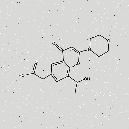 CC(O)c1cc(CC(=O)O)cc2c(=O)cc(N3CCOCC3)oc12